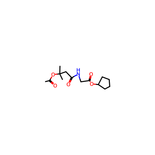 CC(=O)OC(C)(C)CC(=O)NCC(=O)OC1CCCC1